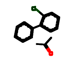 CC(C)=O.Clc1ccccc1-c1ccccc1